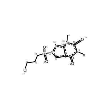 Cn1c(=O)c2cn(S(=O)(=O)CCCCl)nc2n(C)c1=O